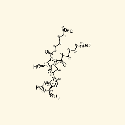 C#C[C@]1(COC(=O)CCCCCCCCCCCCCCC)OC(n2cnc3c(N)nc(F)nc32)CC1OC(=O)CCCCCCCCCCCCCCC